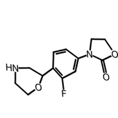 O=C1OCCN1c1ccc(C2CNCCO2)c(F)c1